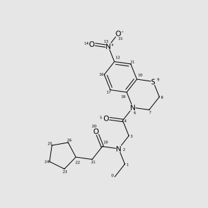 CCN(CC(=O)N1CCSc2cc([N+](=O)[O-])ccc21)C(=O)CC1CCCC1